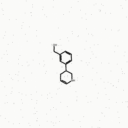 OCc1cccc(C2CC=CNC2)c1